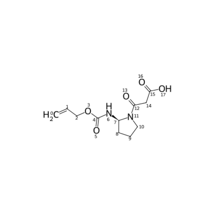 C=CCOC(=O)N[C@@H]1CCCN1C(=O)CC(=O)O